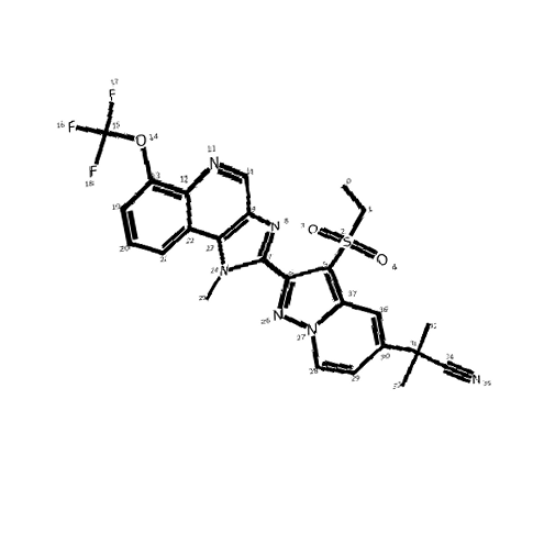 CCS(=O)(=O)c1c(-c2nc3cnc4c(OC(F)(F)F)cccc4c3n2C)nn2ccc(C(C)(C)C#N)cc12